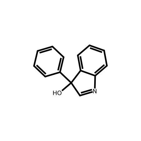 OC1(c2ccccc2)C=Nc2ccccc21